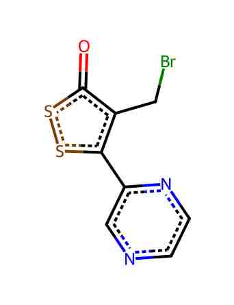 O=c1ssc(-c2cnccn2)c1CBr